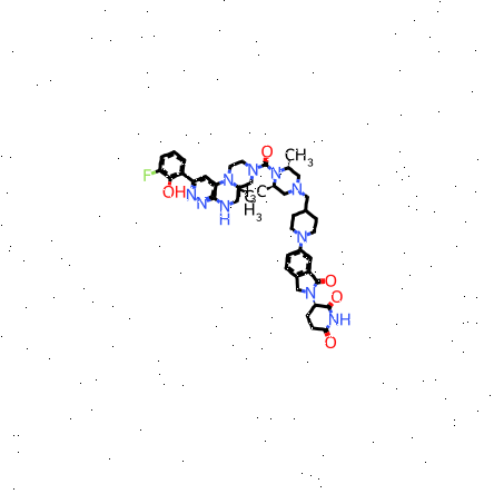 C[C@@H]1CN(CC2CCN(c3ccc4c(c3)C(=O)N([C@H]3CCC(=O)NC3=O)C4)CC2)C[C@@H](C)N1C(=O)N1CCN2c3cc(-c4cccc(F)c4O)nnc3NC[C@@]2(C)C1